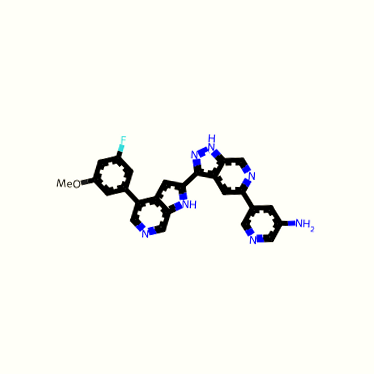 COc1cc(F)cc(-c2cncc3[nH]c(-c4n[nH]c5cnc(-c6cncc(N)c6)cc45)cc23)c1